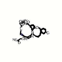 CC[C@@H]1CC/C=C/[C@H](OCC(=O)O)[C@@H]2CC[C@H]2CN2CCCCc3cc(Cl)ccc3COc3ccc(cc32)C(=O)NS1(=O)=O